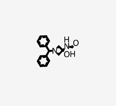 O=CNC1(O)CN(C(c2ccccc2)c2ccccc2)C1